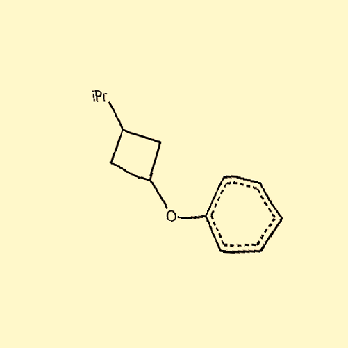 CC(C)C1CC(Oc2ccccc2)C1